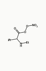 CCNC(C(=O)OO[N+](=O)[O-])C(C)C